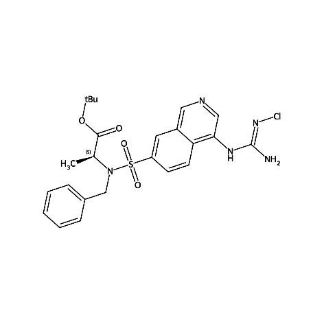 C[C@@H](C(=O)OC(C)(C)C)N(Cc1ccccc1)S(=O)(=O)c1ccc2c(NC(N)=NCl)cncc2c1